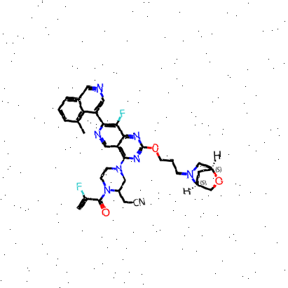 C=C(F)C(=O)N1CCN(c2nc(OCCCN3C[C@@H]4C[C@H]3CO4)nc3c(F)c(-c4cncc5cccc(C)c45)ncc23)CC1CC#N